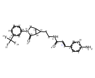 Nc1ccc(/C=C/C(=O)NCCC2C3CN(c4cccc(C(F)(F)F)c4)C(=O)C23)cn1